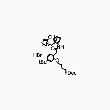 Br.CCCCCCCCCCCCCCOc1cc(C(C)(C)C)ccc1CC(=O)Nc1ccccc1CN1CSC=C1C